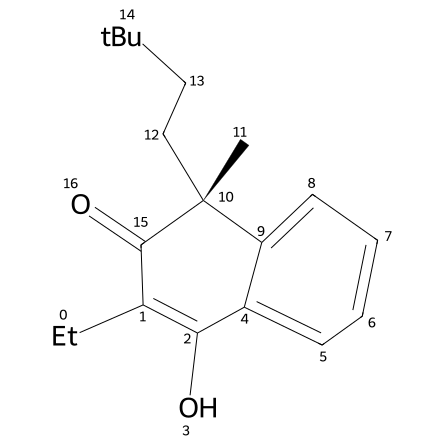 CCC1=C(O)c2ccccc2[C@@](C)(CCC(C)(C)C)C1=O